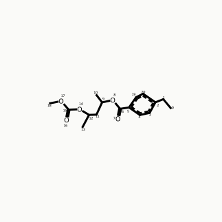 CCc1ccc(C(=O)OC(C)CC(C)OC(=O)OC)cc1